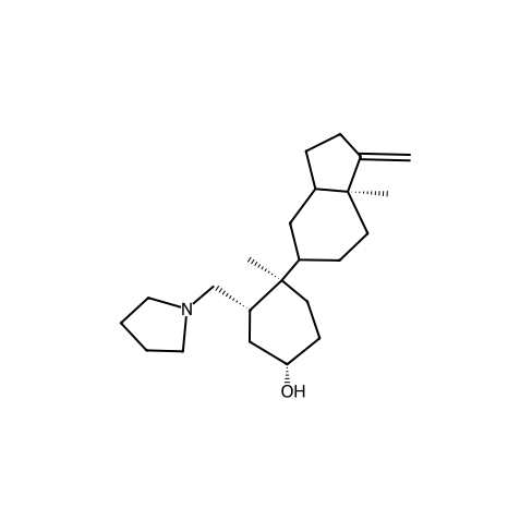 C=C1CCC2CC([C@@]3(C)CC[C@H](O)C[C@@H]3CN3CCCC3)CC[C@]12C